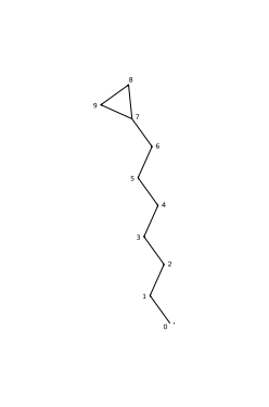 [CH2]CCCCCCC1CC1